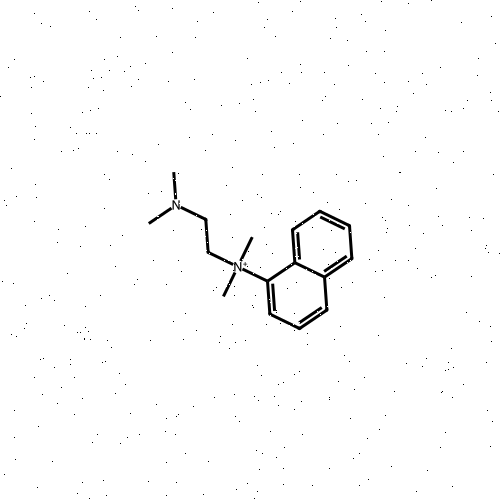 CN(C)CC[N+](C)(C)c1cccc2ccccc12